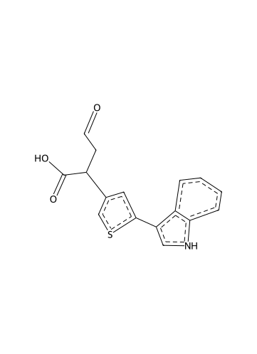 O=CCC(C(=O)O)c1csc(-c2c[nH]c3ccccc23)c1